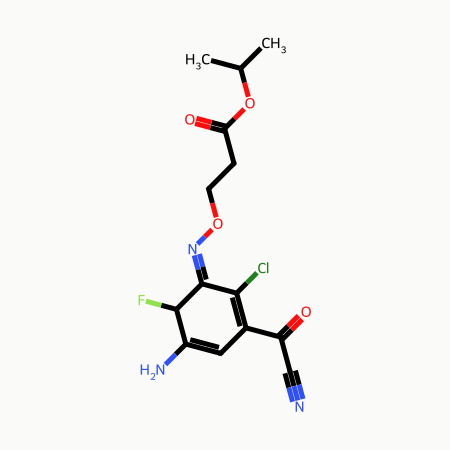 CC(C)OC(=O)CCON=C1C(Cl)=C(C(=O)C#N)C=C(N)C1F